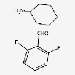 NC1CCCCC1.O=Cc1c(F)cccc1F